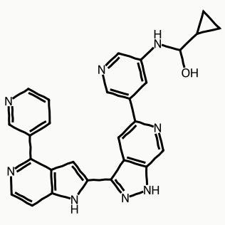 OC(Nc1cncc(-c2cc3c(-c4cc5c(-c6cccnc6)nccc5[nH]4)n[nH]c3cn2)c1)C1CC1